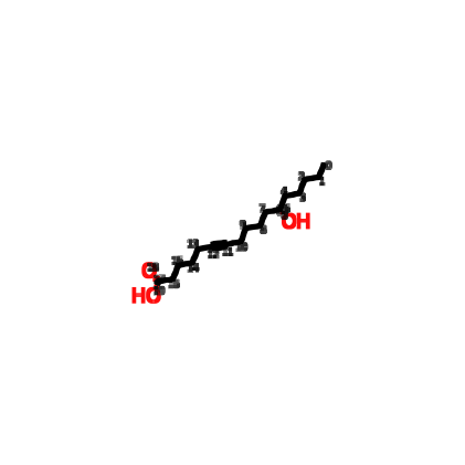 CCCCC[C@H](O)CCCCC#CCCCCC(=O)O